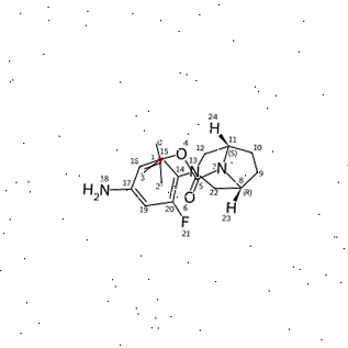 CC(C)(C)OC(=O)N1[C@@H]2CC[C@H]1CN(c1ccc(N)cc1F)C2